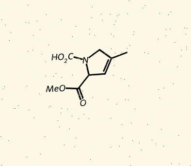 COC(=O)C1C=C(C)CN1C(=O)O